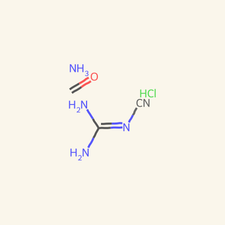 C=O.Cl.N.N#CN=C(N)N